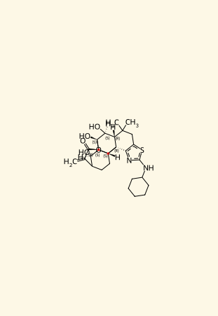 C=C1C(=O)[C@]23[C@H](O)C1CC[C@H]2[C@@]12CO[C@]3(O)[C@@H](O)[C@@H]1C(C)(C)Cc1sc(NC3CCCCC3)nc12